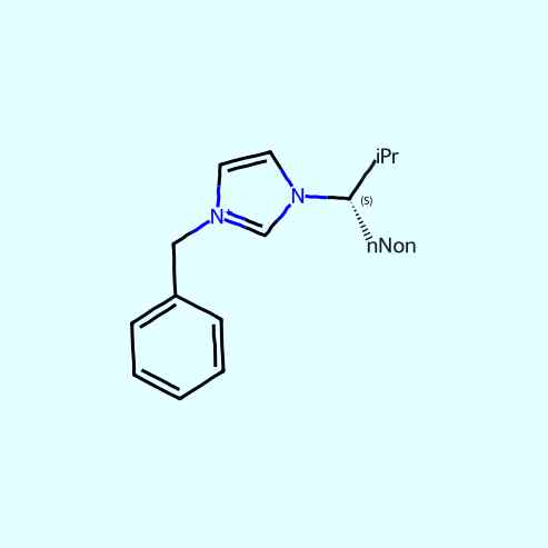 CCCCCCCCC[C@@H](C(C)C)n1cc[n+](Cc2ccccc2)c1